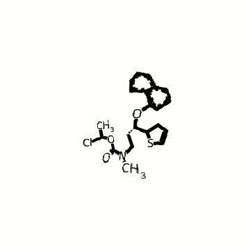 CC(Cl)OC(=O)N(C)CC[C@H](Oc1cccc2ccccc12)C1CC=CS1